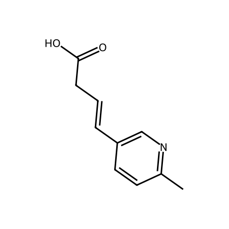 Cc1ccc(/C=C/CC(=O)O)cn1